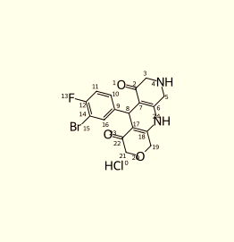 Cl.O=C1CNCC2=C1C(c1ccc(F)c(Br)c1)C1=C(COCC1=O)N2